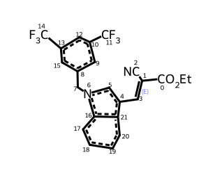 CCOC(=O)/C(C#N)=C/c1cn(Cc2cc(C(F)(F)F)cc(C(F)(F)F)c2)c2ccccc12